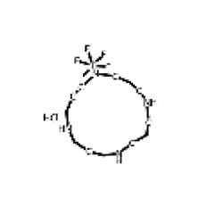 Cl.[CH3][Ti]([F])([F])([F])([F])[N]1CCCNCCCNCCCNCCC1